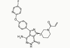 C=CC(=O)N1CCC[C@@H](n2nc(-c3ccc(Oc4ccc(F)cn4)cc3)c3c(N)n[nH]c(=O)c32)C1